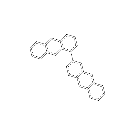 [c]1c(-c2cccc3cc4ccccc4cc23)ccc2cc3ccccc3cc12